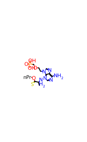 CCCOC(=S)C(C)N.Nc1ncnc2c1ncn2CCOCP(=O)(O)O